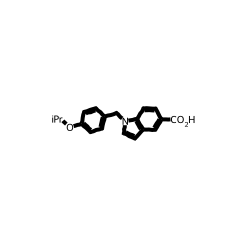 CC(C)Oc1ccc(Cn2ccc3cc(C(=O)O)ccc32)cc1